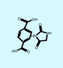 O=C(O)c1ccc(C(=O)O)cc1.O=C1CNC(=O)N1